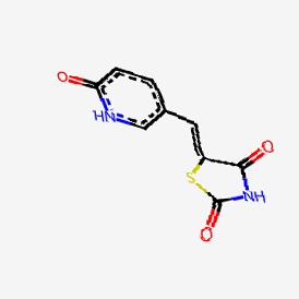 O=C1NC(=O)C(=Cc2ccc(=O)[nH]c2)S1